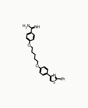 CC(C)c1nc(-c2ccc(OCCCCCOc3ccc(C(=N)N)cc3)cc2)cs1